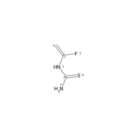 C=C(F)NC(N)=S